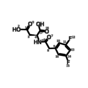 O=C(O)C[C@H](NC(=O)Cc1cc(F)cc(F)c1)C(=O)O